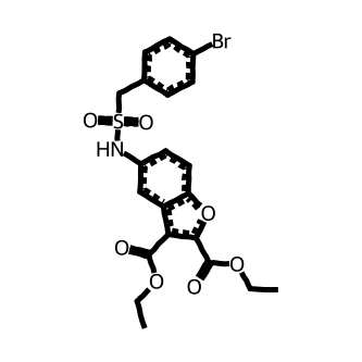 CCOC(=O)c1oc2ccc(NS(=O)(=O)Cc3ccc(Br)cc3)cc2c1C(=O)OCC